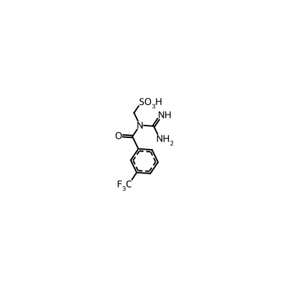 N=C(N)N(CS(=O)(=O)O)C(=O)c1cccc(C(F)(F)F)c1